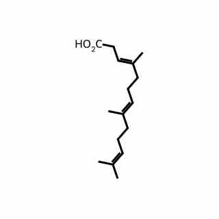 CC(C)=CCC/C(C)=C/CCC(C)=CCC(=O)O